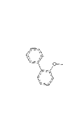 COc1ccccc1-c1[c]cccc1